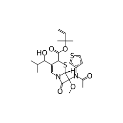 C=CC(C)(C)OC(=O)C1S[C@H]2N(C=C1C(O)C(C)C)C(=O)C2(OC)N(C(C)=O)c1ccsc1